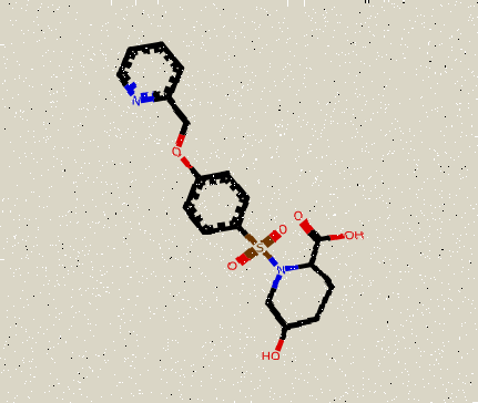 O=C(O)C1CCC(O)CN1S(=O)(=O)c1ccc(OCc2ccccn2)cc1